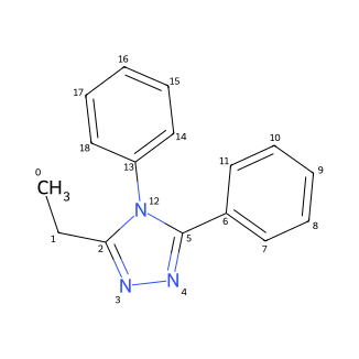 CCc1nnc(-c2ccccc2)n1-c1ccccc1